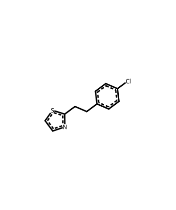 Clc1ccc(CCc2nccs2)cc1